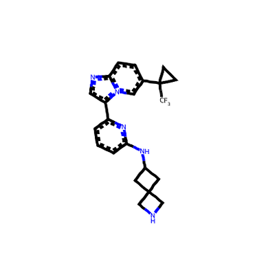 FC(F)(F)C1(c2ccc3ncc(-c4cccc(NC5CC6(CNC6)C5)n4)n3c2)CC1